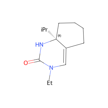 CCN1C=C2CCCC[C@]2(C(C)C)NC1=O